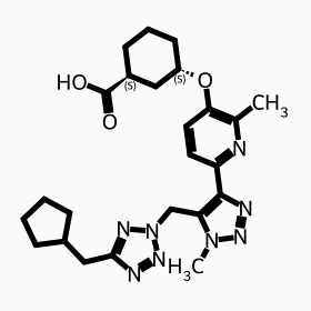 Cc1nc(-c2nnn(C)c2Cn2nnc(CC3CCCC3)n2)ccc1O[C@H]1CCC[C@H](C(=O)O)C1